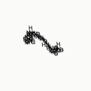 O=C1CCC(N2Cc3c(NC(=O)CNCCOCCN4CCC(NC(=O)c5ccc(Nc6ncc7c(n6)-c6ccc(Cl)cc6C(c6c(F)cccc6F)=NC7)cc5)CC4)cccc3C2=O)C(=O)N1